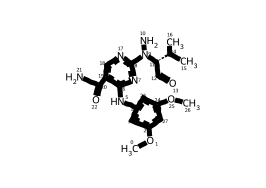 COc1cc(Nc2nc(N(N)[C@@H](C=O)C(C)C)ncc2C(N)=O)cc(OC)c1